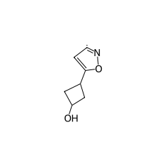 OC1CC(c2c[c]no2)C1